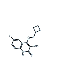 CCCc1c(OCC2CCC2)c2cc(F)ccc2[nH]c1=S